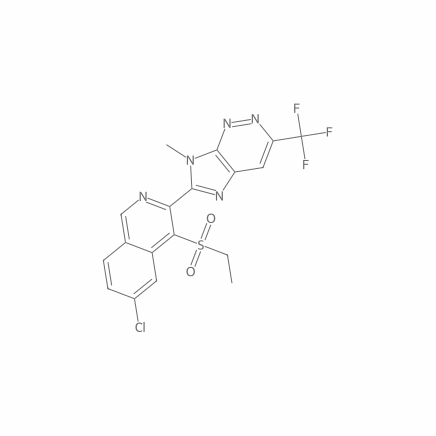 CCS(=O)(=O)c1c(-c2nc3cc(C(F)(F)F)nnc3n2C)ncc2ccc(Cl)cc12